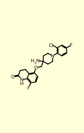 NC1(COc2ccc(F)c3c2CCC(=O)N3)CCN(c2ccc(F)cc2Cl)CC1